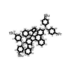 CC(C)c1ccc(N(c2ccc(C(C)(C)C)cc2)c2ccc3c4c(c5ccccc5c3c2)-c2c(cc(N(c3ccc(C(C)(C)C)cc3)c3ccc(C(C)(C)C)cc3)c3c2oc2ccccc23)C42c3ccccc3-c3ccccc32)cc1